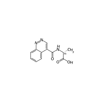 C[C@@H](NC(=O)c1cnnc2ccccc12)C(=O)O